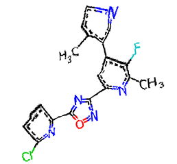 Cc1ccncc1-c1cc(-c2noc(-c3cccc(Cl)n3)n2)nc(C)c1F